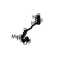 COc1cc(N2CCN(C(=O)CCCCCC#CCCCCNc3cccc4c3C(=O)N(C3CCC(=O)NC3=O)C4=O)CC2)ccc1Nc1ncc(Cl)c(Nc2ccccc2P(C)(C)=O)n1